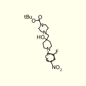 CC(C)(C)OC(=O)N1CCN(CC2(O)CCN(c3ccc([N+](=O)[O-])cc3F)CC2)CC1